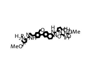 COC[C@H]1C[C@@H](c2ncc(-c3ccc4c(c3)COc3cc5c(cc3-4)CCc3nc([C@@H]4CC[C@H](C)N4C(=O)C(NC(=O)OC)C(C)C)[nH]c3-5)[nH]2)N(P)C1